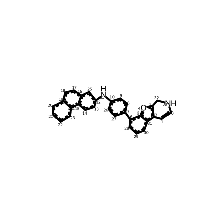 C1=Cc2c(oc3c(-c4ccc(Nc5ccc6c(ccc7ccccc76)c5)cc4)cccc23)CN1